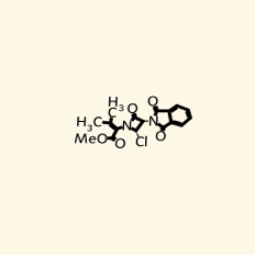 COC(=O)C(=C(C)C)N1C(=O)[C@H](N2C(=O)c3ccccc3C2=O)[C@@H]1Cl